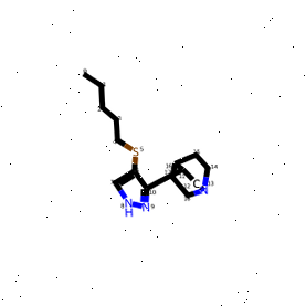 CCCCCSc1c[nH]nc1C1CN2CCC1CC2